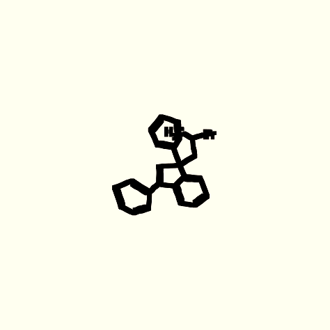 CC(C)C(C)CC1(c2ccccc2)C=C(c2ccccc2)c2ccccc21